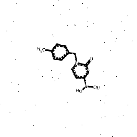 Cc1ccc(Cn2ccc(B(O)O)cc2=O)cc1